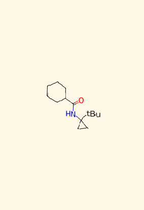 CC(C)(C)C1(NC(=O)C2CCCCC2)CC1